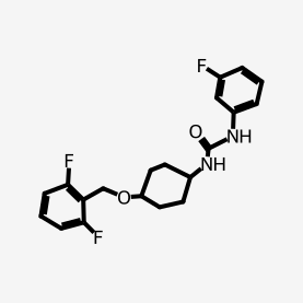 O=C(Nc1cccc(F)c1)NC1CCC(OCc2c(F)cccc2F)CC1